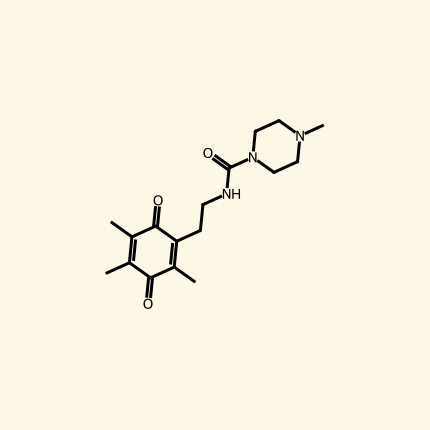 CC1=C(C)C(=O)C(CCNC(=O)N2CCN(C)CC2)=C(C)C1=O